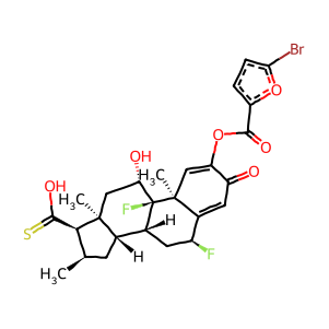 C[C@@H]1C[C@H]2[C@H]3C[C@H](F)C4=CC(=O)C(OC(=O)c5ccc(Br)o5)=C[C@]4(C)[C@@]3(F)[C@@H](O)C[C@]2(C)[C@@H]1C(O)=S